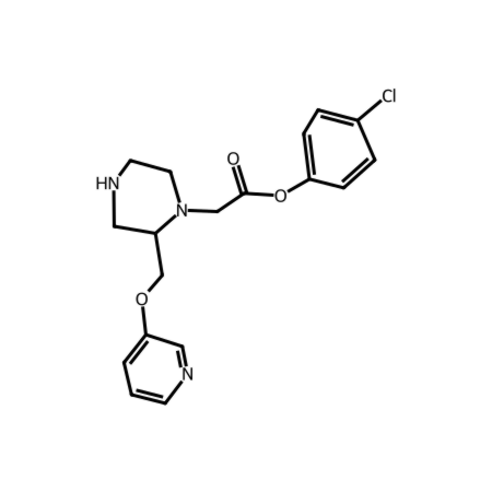 O=C(CN1CCNCC1COc1cccnc1)Oc1ccc(Cl)cc1